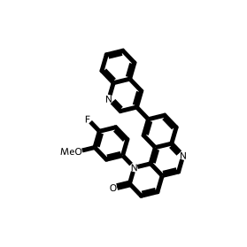 COc1cc(-n2c(=O)ccc3cnc4ccc(-c5cnc6ccccc6c5)cc4c32)ccc1F